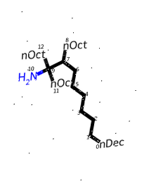 CCCCCCCCCCCCCCCCC(CCCCCCCC)C(N)(CCCCCCCC)CCCCCCCC